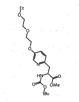 CCOCCOCCOc1ccc(CC(NC(=O)OC(C)(C)C)C(=O)OC)nc1